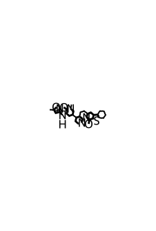 Cc1cc(Nc2cc(-c3ccnc4c3CCc3cc5c6c(sc5c(=O)n3-4)CCCC6)cn(C)c2=O)no1